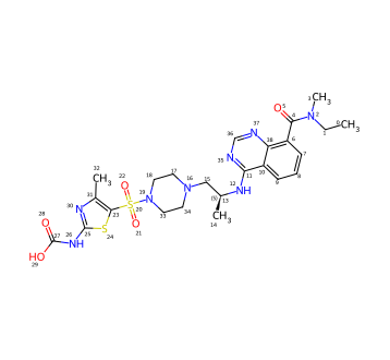 CCN(C)C(=O)c1cccc2c(N[C@@H](C)CN3CCN(S(=O)(=O)c4sc(NC(=O)O)nc4C)CC3)ncnc12